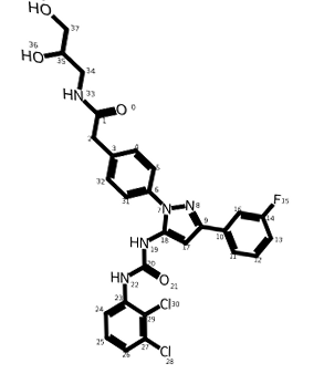 O=C(Cc1ccc(-n2nc(-c3cccc(F)c3)cc2NC(=O)Nc2cccc(Cl)c2Cl)cc1)NCC(O)CO